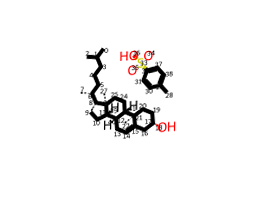 CC(C)CCC[C@@H](C)[C@H]1CC[C@H]2[C@@H]3CC=C4C[C@@H](O)CC[C@]4(C)[C@H]3CC[C@]12C.Cc1ccc(S(=O)(=O)O)cc1